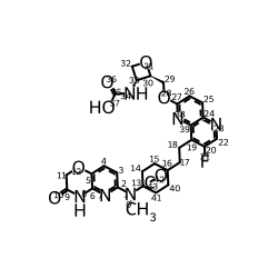 CN(c1ccc2c(n1)NC(=O)CO2)C12CCC(CCc3c(F)cnc4ccc(OC[C@@H]5OC[C@@H]5NC(=O)O)nc34)(CC1)OC2